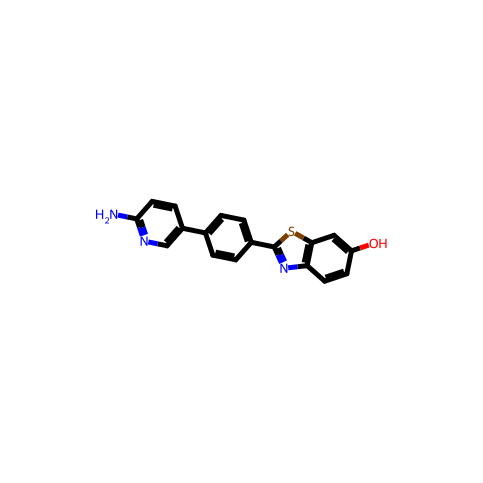 Nc1ccc(-c2ccc(-c3nc4ccc(O)cc4s3)cc2)cn1